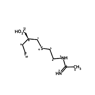 CC(=N)NCCSC[C@@H](CF)C(=O)O